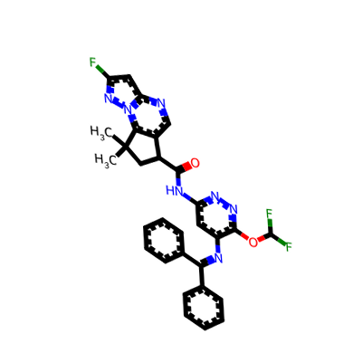 CC1(C)CC(C(=O)Nc2cc(N=C(c3ccccc3)c3ccccc3)c(OC(F)F)nn2)c2cnc3cc(F)nn3c21